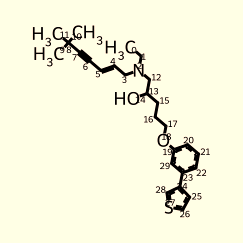 CCN(CC=CC#CC(C)(C)C)CC(O)CCCOc1cccc(-c2ccsc2)c1